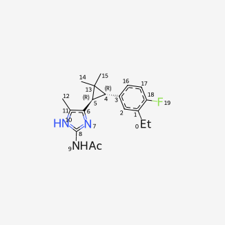 CCc1cc([C@@H]2[C@@H](c3nc(NC(C)=O)[nH]c3C)C2(C)C)ccc1F